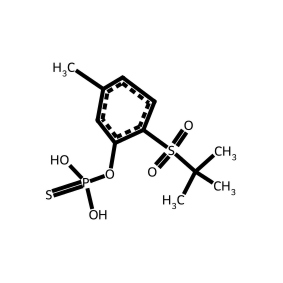 Cc1ccc(S(=O)(=O)C(C)(C)C)c(OP(O)(O)=S)c1